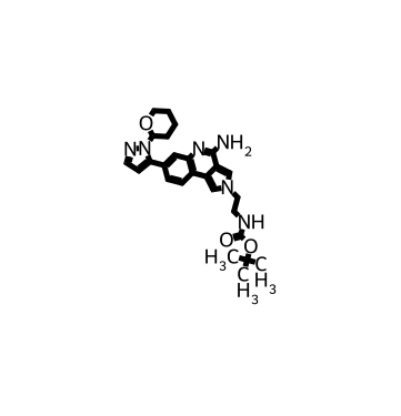 CC(C)(C)OC(=O)NCCn1cc2c(N)nc3cc(-c4ccnn4C4CCCCO4)ccc3c2c1